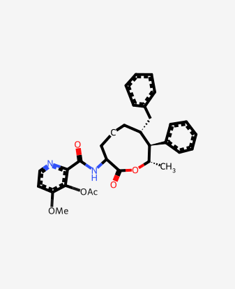 COc1ccnc(C(=O)NC2CCC[C@H](Cc3ccccc3)[C@@H](c3ccccc3)[C@H](C)OC2=O)c1OC(C)=O